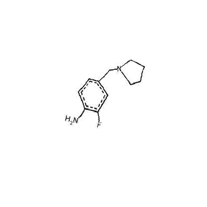 Nc1ccc(CN2CCCC2)cc1F